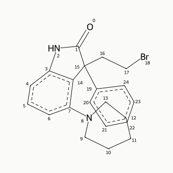 O=C1Nc2cccc(N3CCCCC3)c2C1(CCBr)c1ccccc1